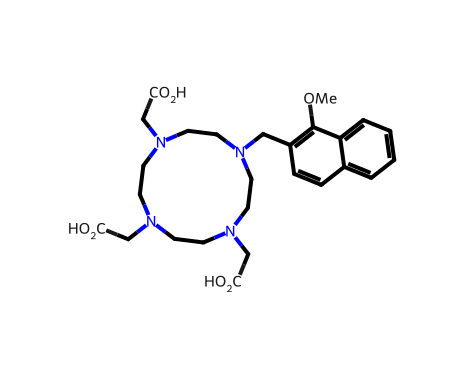 COc1c(CN2CCN(CC(=O)O)CCN(CC(=O)O)CCN(CC(=O)O)CC2)ccc2ccccc12